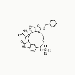 CC[Si](CC)(CC)OC1CCCCN(C(=O)OCc2ccccc2)[C@@H](CC(C)C)C(=O)N2C[C@]3(C[C@H]2C(N)=O)C(=O)Nc2ccc1cc23